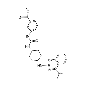 COC(=O)c1cccc(NC(=O)N[C@H]2CC[C@@H](Nc3nc(N(C)C)c4ccccc4n3)CC2)c1